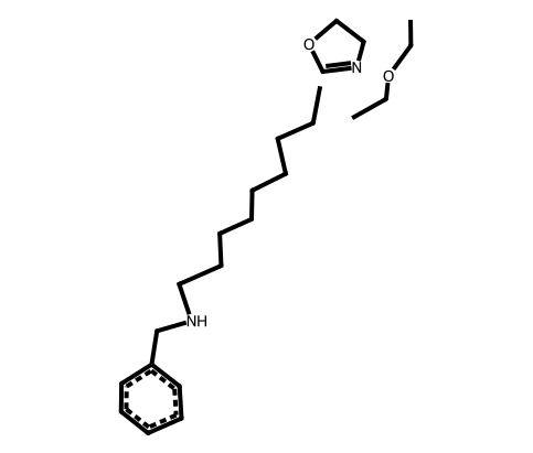 C1=NCCO1.CCCCCCCCCNCc1ccccc1.CCOCC